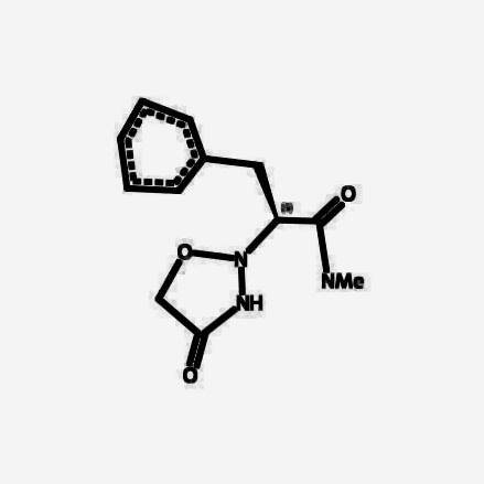 CNC(=O)[C@H](Cc1ccccc1)N1NC(=O)CO1